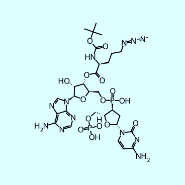 CC(C)(C)OC(=O)N[C@@H](CCCN=[N+]=[N-])C(=O)O[C@H]1[C@@H](O)[C@H](n2cnc3c(N)ncnc32)O[C@@H]1COP(=O)(O)[C@H]1C[C@H](n2ccc(N)nc2=O)O[C@@H]1COP(=O)(O)O